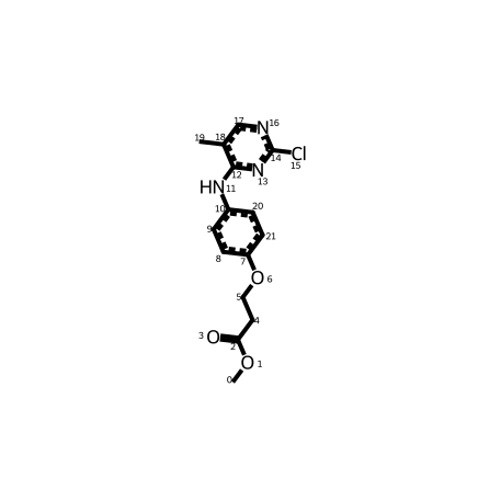 COC(=O)CCOc1ccc(Nc2nc(Cl)ncc2C)cc1